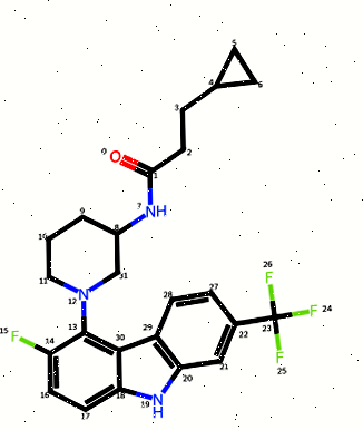 O=C(CCC1CC1)NC1CCCN(c2c(F)ccc3[nH]c4cc(C(F)(F)F)ccc4c23)C1